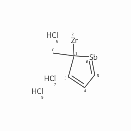 C[C]1([Zr])C=C[CH]=[Sb]1.Cl.Cl.Cl